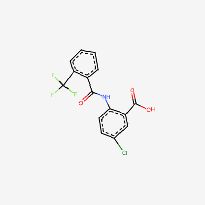 O=C(O)c1cc(Cl)ccc1NC(=O)c1ccccc1C(F)(F)F